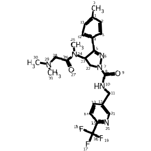 Cc1ccc(C2=NN(C(=O)NCc3ccc(C(F)(F)F)nc3)CC2N(C)C(=O)CN(C)C)cc1